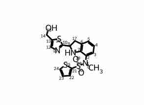 CN(c1cccc2c1NC(c1ncc(CO)s1)C2)S(=O)(=O)c1cccs1